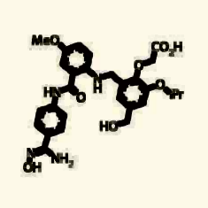 COc1ccc(NCc2cc(CO)cc(OC(C)C)c2OCC(=O)O)c(C(=O)Nc2ccc(/C(N)=N/O)cc2)c1